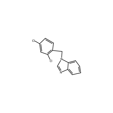 Clc1ccc(Cn2cnc3ccccc32)c(Cl)c1